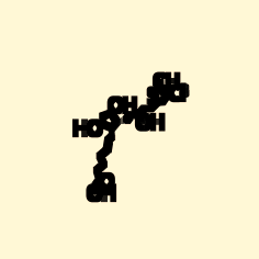 Cc1sc(CC[C@@H](O)C=C[C@@H]2[C@@H](CC=CCCCC(=O)CO)[C@@H](O)C[C@H]2O)cc1Cl